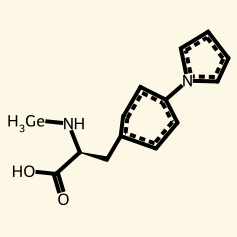 O=C(O)[C@H](Cc1ccc(-n2cccc2)cc1)[NH][GeH3]